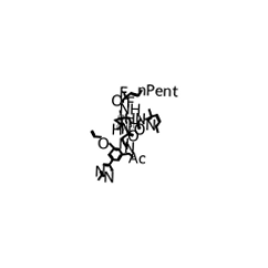 C=CCOCc1cc(-c2cnc(C)nc2)cc2c(C(C)=O)nn(CC(=O)N3[C@H](C(=O)Nc4nc(C)ccc4C)C[C@@]4(CNC(=O)C(F)(F)C=CCCCCC)C[C@@H]34)c12